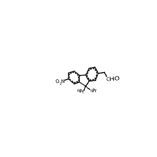 CCCC1(CCC)c2cc(CC=O)ccc2-c2ccc([N+](=O)[O-])cc21